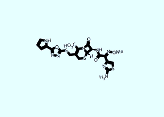 CON=C(C(=O)N[C@@H]1C(=O)N2C(C(=O)O)=C(CSc3nnc(-c4ccc[nH]4)o3)CS[C@@H]12)c1csc(N)n1